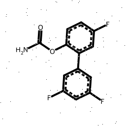 NC(=O)Oc1ccc(F)cc1-c1cc(F)cc(F)c1